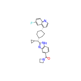 O=C(c1ccc2[nH]c(C(C3CC3)[C@H]3CC[C@@H](c4ccnc5ccc(F)cc54)CC3)nc2c1)N1CCC1